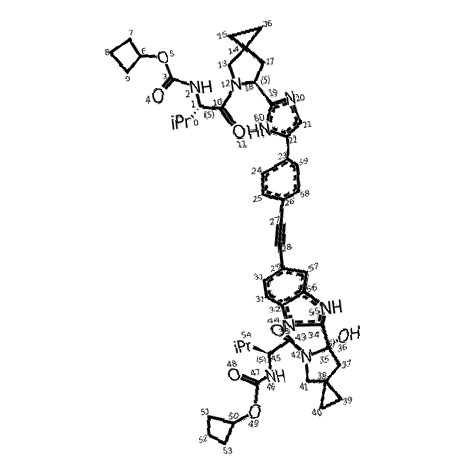 CC(C)[C@H](NC(=O)OC1CCC1)C(=O)N1CC2(CC2)C[C@H]1c1ncc(-c2ccc(C#Cc3ccc4nc([C@@]5(O)CC6(CC6)CN5C(=O)[C@@H](NC(=O)OC5CCC5)C(C)C)[nH]c4c3)cc2)[nH]1